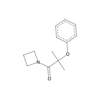 CC(C)(Oc1ccccc1)C(=O)N1CCC1